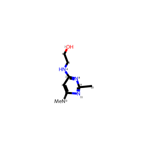 CNc1cc(NCCO)nc(C)n1